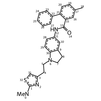 CNc1nc(CCN2CCc3cc(NC(=O)c4cc(C)ccc4-c4ccccc4)ccc32)cs1